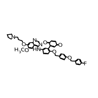 COc1cc2c(Nc3ccc(OCc4ccc(OCc5ccc(F)cc5)cc4)c(C4=CC(=O)C=CC4=O)c3)ncnc2cc1OCCCN1CCCC1